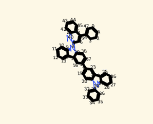 C1=CCCC(c2cc(-n3c4ccccc4c4cc(-c5ccc6c(c5)c5ccccc5n6-c5ccccc5)ccc43)nc3ccccc23)=C1